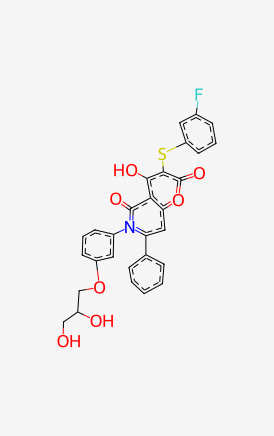 O=c1oc2cc(-c3ccccc3)n(-c3cccc(OCC(O)CO)c3)c(=O)c2c(O)c1Sc1cccc(F)c1